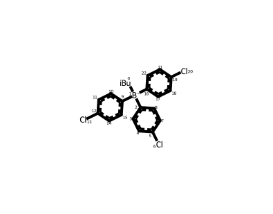 CCC(C)[B-](c1ccc(Cl)cc1)(c1ccc(Cl)cc1)c1ccc(Cl)cc1